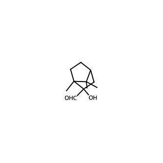 CC1(C)C2CCC1(C)C(O)(C=O)C2